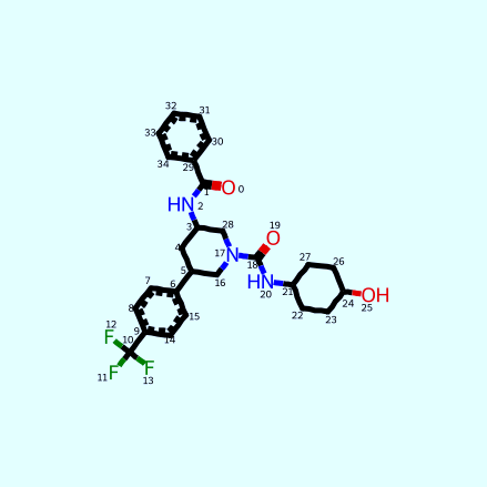 O=C(NC1CC(c2ccc(C(F)(F)F)cc2)CN(C(=O)NC2CCC(O)CC2)C1)c1ccccc1